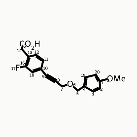 COc1ccc(COCC#Cc2ccc(CC(=O)O)c(F)c2)cc1